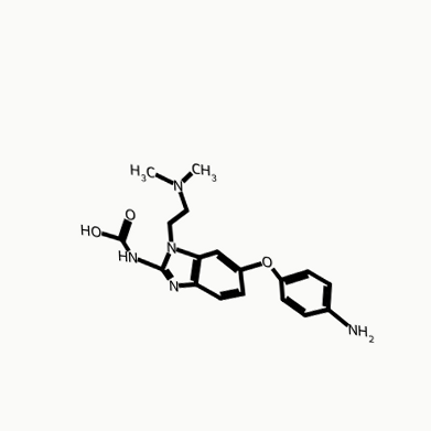 CN(C)CCn1c(NC(=O)O)nc2ccc(Oc3ccc(N)cc3)cc21